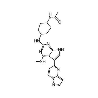 CNc1nc(NC2CCC(NC(C)=O)CC2)nc2[nH]cc(-c3ccn4nccc4n3)c12